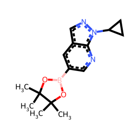 CC1(C)OB(c2cnc3c(cnn3C3CC3)c2)OC1(C)C